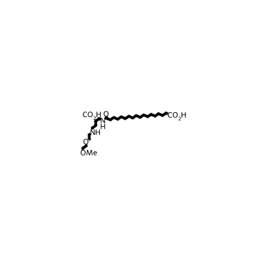 COCCOCCNCCCC(NC(=O)CCCCCCCCCCCCCCCCC(=O)O)C(=O)O